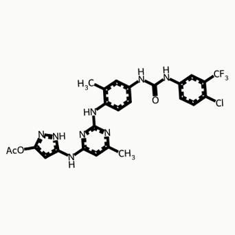 CC(=O)Oc1cc(Nc2cc(C)nc(Nc3ccc(NC(=O)Nc4ccc(Cl)c(C(F)(F)F)c4)cc3C)n2)[nH]n1